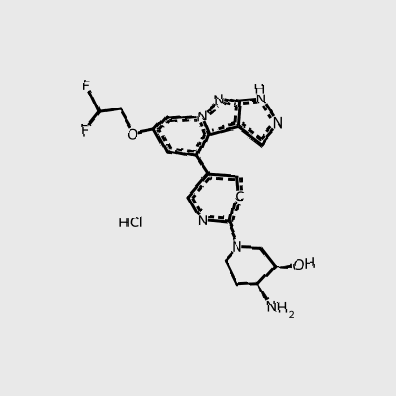 Cl.N[C@H]1CCN(c2ccc(-c3cc(OCC(F)F)cn4nc5[nH]ncc5c34)cn2)C[C@H]1O